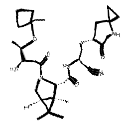 C[C@@H](OC1(C)CCC1)[C@H](N)C(=O)N1C[C@H]2[C@@H]([C@H]1C(=O)N[C@H](C#N)C[C@@H]1CC3(CC3)NC1=O)C2(C)C